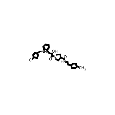 Cc1ccc(CCNC(=O)C2CCN(C(=O)C(O)Cc3ccccc3NCc3ccc(Cl)cc3)CC2)cc1